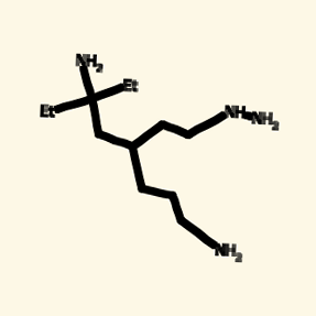 CCC(N)(CC)CC(CCCN)CCNN